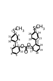 CSc1ccc(-c2ccccc2OC(=O)Oc2ccccc2-c2ccc(SC)cc2)cc1